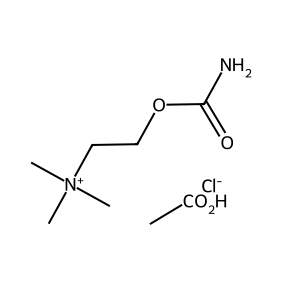 CC(=O)O.C[N+](C)(C)CCOC(N)=O.[Cl-]